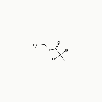 CCC(C)(CC)C(=O)OCC(F)(F)F